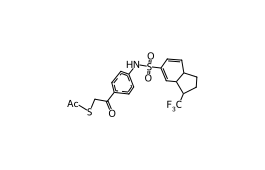 CC(=O)SCC(=O)c1ccc(NS(=O)(=O)C2=CC3C(C=C2)CCC3C(F)(F)F)cc1